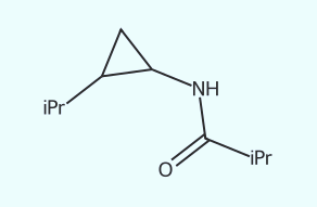 CC(C)C(=O)NC1CC1C(C)C